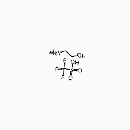 CNCCO.O=S(=O)(O)C(F)(F)F